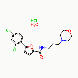 Cl.O.O=C(NCCCN1CCOCC1)c1ccc(-c2ccc(Cl)cc2Cl)o1